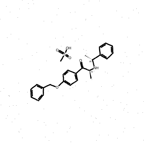 CS(=O)(=O)O.C[C@H](N[C@H](C)c1ccccc1)C(=O)c1ccc(OCc2ccccc2)cc1